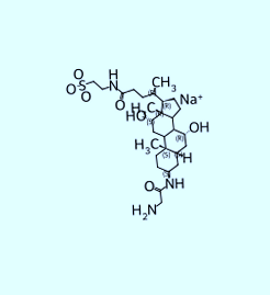 C[C@H](CCC(=O)NCCS(=O)(=O)[O-])[C@H]1CCC2C3C(C[C@H](O)[C@@]21C)[C@@]1(C)CC[C@H](NC(=O)CN)C[C@H]1C[C@H]3O.[Na+]